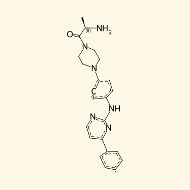 C[C@@H](N)C(=O)N1CCN(c2ccc(Nc3nccc(-c4cc[c]cc4)n3)cc2)CC1